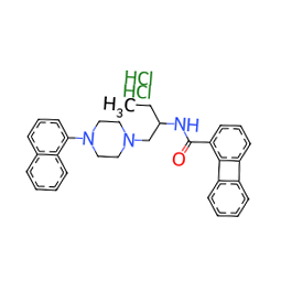 CCC(CN1CCN(c2cccc3ccccc23)CC1)NC(=O)c1cccc2c1-c1ccccc1-2.Cl.Cl